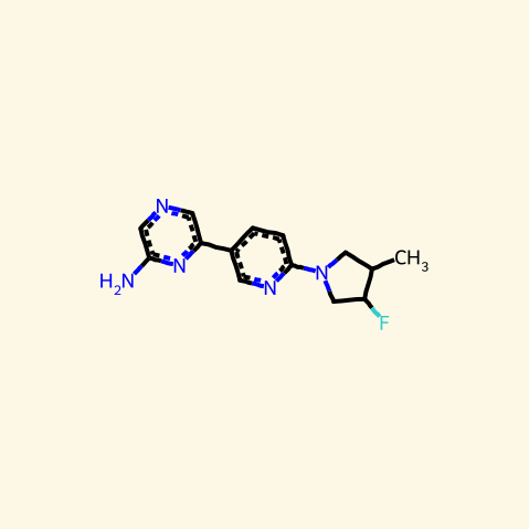 CC1CN(c2ccc(-c3cncc(N)n3)cn2)CC1F